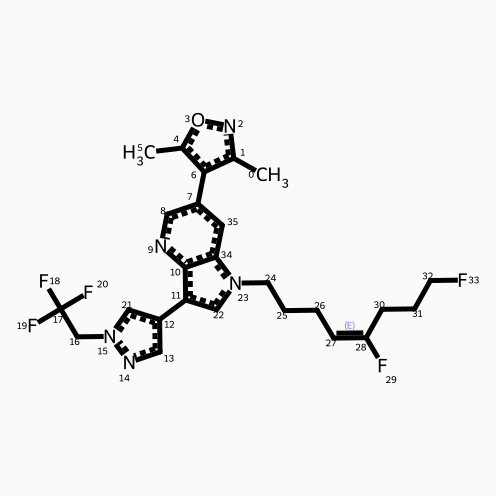 Cc1noc(C)c1-c1cnc2c(-c3cnn(CC(F)(F)F)c3)cn(CCC/C=C(/F)CCCF)c2c1